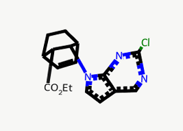 CCOC(=O)C1C2C=CC(CC2)C1n1ccc2cnc(Cl)nc21